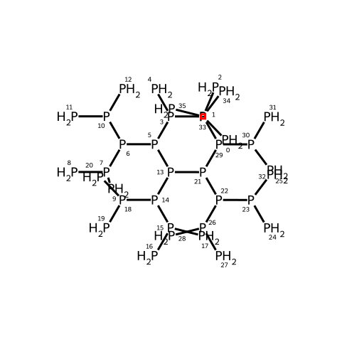 PP(P)P(P)P(P(P(P)P)P(P)P)P(P(P(P)P)P(P)P)P(P(P(P)P)P(P)P)P(P(P)P)P(P)P